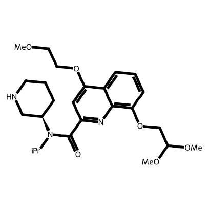 COCCOc1cc(C(=O)N(C(C)C)[C@@H]2CCCNC2)nc2c(OCC(OC)OC)cccc12